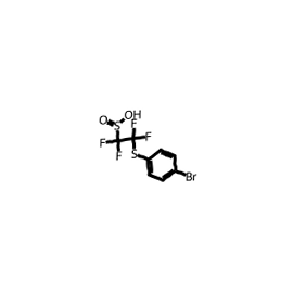 O=S(O)C(F)(F)C(F)(F)Sc1ccc(Br)cc1